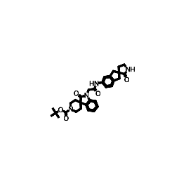 CC(C)(C)OC(=O)N1CCC2(CC1)C(=O)N(CC(=O)Nc1ccc3c(c1)CC1(CCNC1=O)C3)c1ccccc12